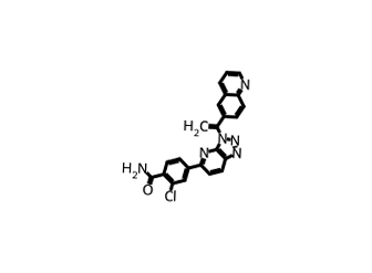 C=C(c1ccc2ncccc2c1)n1nnc2ccc(-c3ccc(C(N)=O)c(Cl)c3)nc21